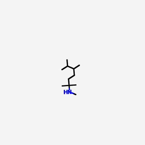 CNC(C)(C)CCC(C)C(C)C